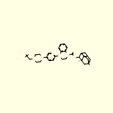 CC(C)(C)CN1CCN(c2ccc(N3CCN(C(=O)NC4[C@@H]5CC6C[C@H]4CC(O)(C6)C5)c4ccccc43)nc2)CC1